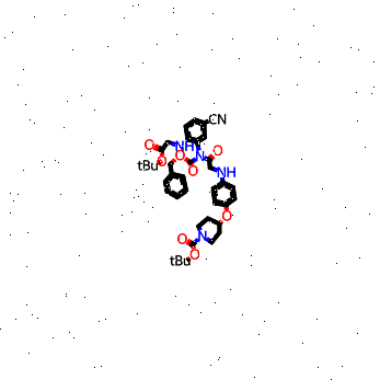 CC(C)(C)OC(=O)CNc1ccc(C#N)cc1N(C(=O)CNc1ccc(OC2CCN(C(=O)OC(C)(C)C)CC2)cc1)C(=O)OCc1ccccc1